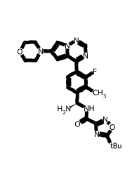 Cc1c([C@@H](N)NC(=O)c2noc(C(C)(C)C)n2)ccc(-c2ncnn3cc(N4CCOCC4)cc23)c1F